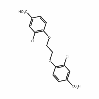 O=C(O)c1ccc(OCCOc2ccc(C(=O)O)cc2Cl)c(Cl)c1